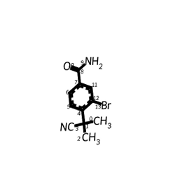 CC(C)(C#N)c1ccc(C(N)=O)cc1Br